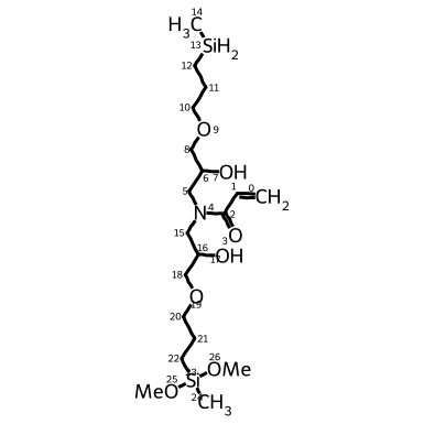 C=CC(=O)N(CC(O)COCCC[SiH2]C)CC(O)COCCC[Si](C)(OC)OC